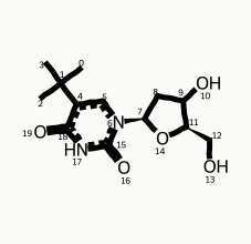 CC(C)(C)c1cn([C@H]2CC(O)[C@@H](CO)O2)c(=O)[nH]c1=O